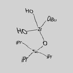 CC(C)C[O][Zr]([OH])([OH])[O][Si](C(C)C)(C(C)C)C(C)C